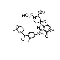 CCC1(n2nc(Nc3ccc(C(=O)N4CCOC(C)C4)c(C)c3)c3c(=O)[nH]ccc32)CCN(C(=O)O)C(C(C)(C)C)C1